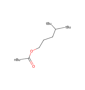 CCCCC(=O)OCCCC(C(C)(C)C)C(C)(C)C